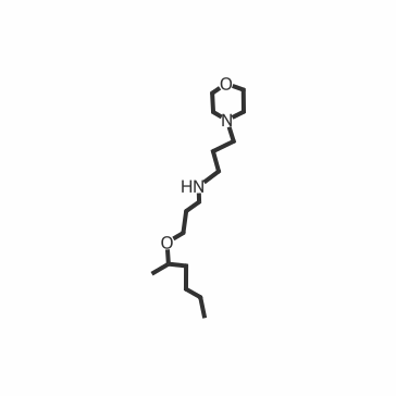 CCCCC(C)OCCCNCCCN1CCOCC1